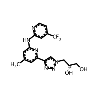 Cc1cc(Nc2cc(C(F)(F)F)ccn2)nc(-c2cn(C[C@@H](O)CO)nn2)c1